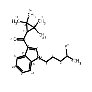 CC(F)CCCn1cc(C(=O)C2C(C)(C)C2(C)C)c2ccccc21